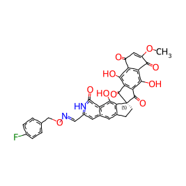 COC1=CC(=O)c2c(O)c3c(c(O)c2C1=O)C(=O)[C@]1(CCc2cc4cc(C=NOCc5ccc(F)cc5)[nH]c(=O)c4c(O)c21)C3=O